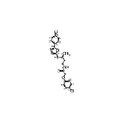 C=C(CCNC(=O)COc1ccc(Cl)cc1)Nc1nnc(-c2ccc(Cl)cc2)o1